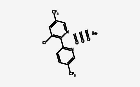 FC(F)(F)c1ccc(-c2ncc(C(F)(F)F)cc2Cl)nc1.[C]=O.[C]=O.[C]=O.[Re]